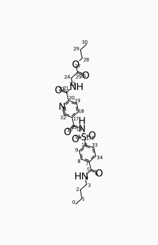 CCCCNC(=O)c1ccc(S(=O)(=O)NC(=O)c2ccc(C(=O)NCC(=O)OCCC)nc2)cc1